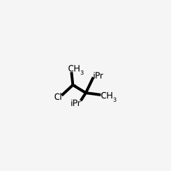 C[C](Cl)C(C)(C(C)C)C(C)C